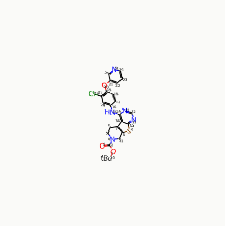 CC(C)(C)OC(=O)N1CCc2c(sc3ncnc(Nc4ccc(Oc5cccnc5)c(Cl)c4)c23)C1